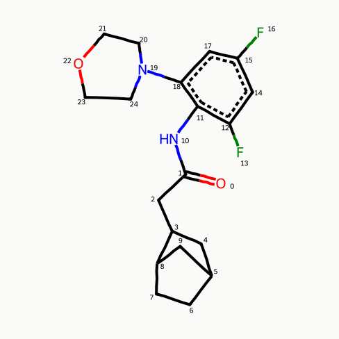 O=C(CC1CC2CCC1C2)Nc1c(F)cc(F)cc1N1CCOCC1